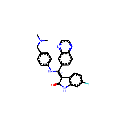 CN(C)Cc1ccc(N/C(=C2\C(=O)Nc3cc(F)ccc32)c2ccc3nccnc3c2)cc1